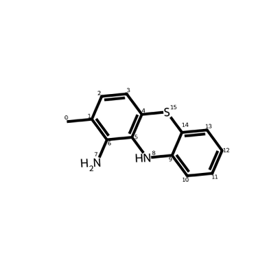 Cc1ccc2c(c1N)Nc1ccccc1S2